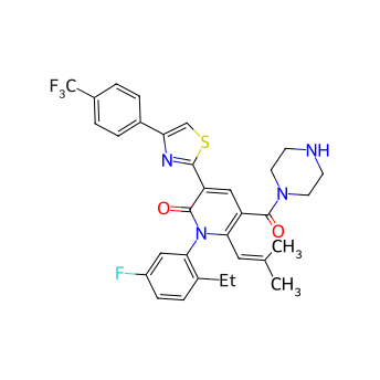 CCc1ccc(F)cc1-n1c(C=C(C)C)c(C(=O)N2CCNCC2)cc(-c2nc(-c3ccc(C(F)(F)F)cc3)cs2)c1=O